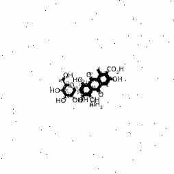 Cc1c(C(=O)O)c(O)cc2c1C(=O)c1c(O)c([C@H]3O[C@H](CO)[C@@H](O)[C@H](O)[C@H]3O)c(O)c(O)c1C2=O.[AlH3]